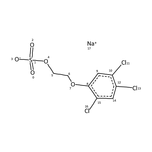 O=S(=O)([O-])OCCOc1cc(Cl)c(Cl)cc1Cl.[Na+]